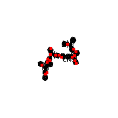 N#Cc1cc(-c2ccc(-c3nc(-c4ccccc4)nc(-c4ccc5oc6c(-c7nc(-c8ccccc8)nc(-c8ccc(-c9ccccc9)cc8)n7)cccc6c5c4)n3)cc2)ccc1-c1ccc(-c2nc(-c3ccccc3)nc(-c3ccccc3Oc3ccc(-c4nc(-c5ccccc5)nc(-c5ccccc5)n4)cc3)n2)cc1